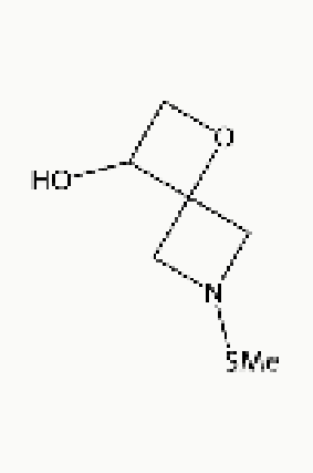 CSN1CC2(C1)OCC2O